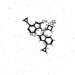 CC1=Cc2c(C3CC3)cccc2[CH]1[Hf+2]([CH]1C(C)=Cc2c(C3CC3)cccc21)=[Si]1CCC1.[Cl-].[Cl-]